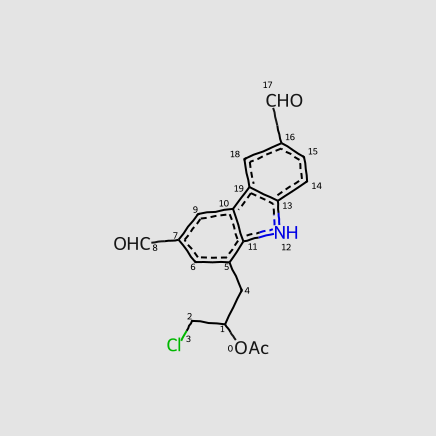 CC(=O)OC(CCl)Cc1cc(C=O)cc2c1[nH]c1ccc(C=O)cc12